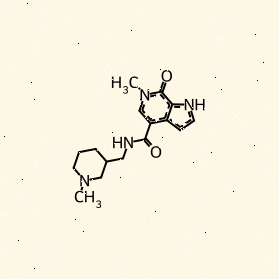 CN1CCCC(CNC(=O)c2cn(C)c(=O)c3[nH]ccc23)C1